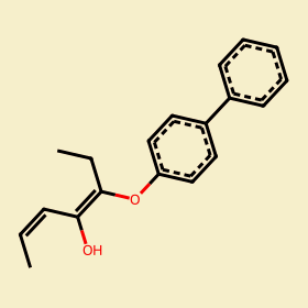 C/C=C\C(O)=C(/CC)Oc1ccc(-c2ccccc2)cc1